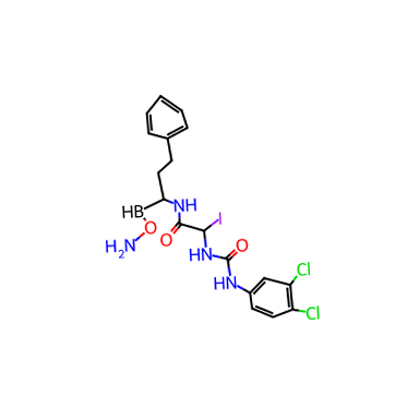 NOBC(CCc1ccccc1)NC(=O)C(I)NC(=O)Nc1ccc(Cl)c(Cl)c1